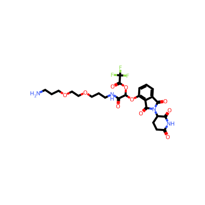 NCCCOCCOCCCNC(=O)C(OC(=O)C(F)(F)F)Oc1cccc2c1C(=O)N(C1CCC(=O)NC1=O)C2=O